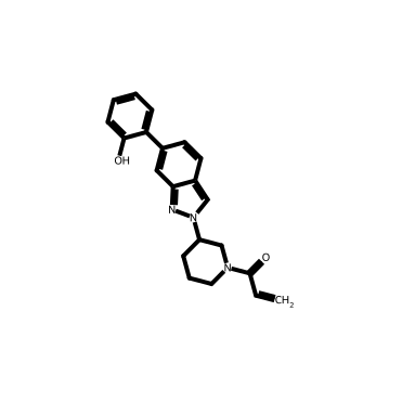 C=CC(=O)N1CCCC(n2cc3ccc(-c4ccccc4O)cc3n2)C1